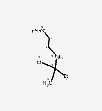 CCCCCCCNC(C)(CC)CC